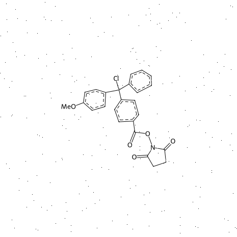 COc1ccc(C(Cl)(c2ccccc2)c2ccc(C(=O)ON3C(=O)CCC3=O)cc2)cc1